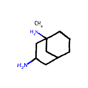 C.NC1CC2CCCC(N)(C1)C2